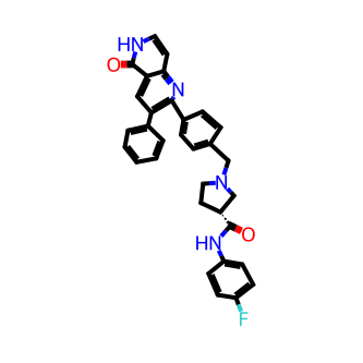 O=C(Nc1ccc(F)cc1)[C@@H]1CCN(Cc2ccc(-c3nc4cc[nH]c(=O)c4cc3-c3ccccc3)cc2)C1